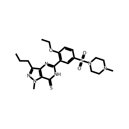 CCCc1nn(C)c2c(=S)[nH]c(-c3cc(S(=O)(=O)N4CCN(C)CC4)ccc3OCC)nc12